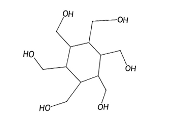 OCC1C(CO)C(CO)C(CO)C(CO)C1CO